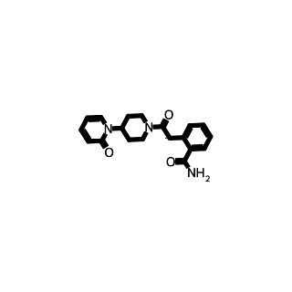 NC(=O)c1ccccc1[CH]C(=O)N1CCC(n2ccccc2=O)CC1